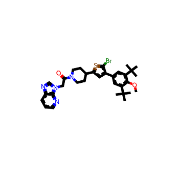 COc1c(C(C)(C)C)cc(-c2cc(C3CCN(C(=O)Cn4cnc5cccnc54)CC3)sc2Br)cc1C(C)(C)C